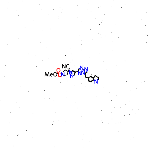 COC(=O)ON1CCC(CC#N)(n2cc(-c3cnc4ncc(Cc5ccc6ncccc6c5)n4n3)cn2)CC1